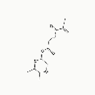 C=C(C)C(=O)OCC(=O)OC1COC(C)C(C)S1